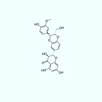 COc1cc([C@@H]2Oc3cc([C@@H]4Oc5cc(O)cc(O)c5C(=O)[C@H]4O)ccc3O[C@H]2CO)ccc1O